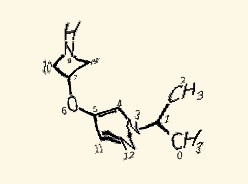 CC(C)n1cc(OC2CNC2)cn1